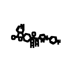 O=C1O[C@]2(CC[C@](O)(C(=O)Nc3ccn(-c4ccc(F)cc4)n3)CC2)c2cnccc21